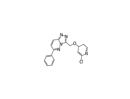 ClC1=CC(OCc2nnc3ccc(-c4ccccc4)nn23)CC=N1